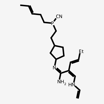 C=CN/C=C(/C=C/CC)C(\N)=N/C1CCC(CCP(C#N)CC/C=C/C)C1